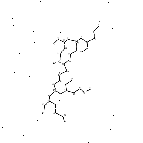 CCCCC(CC)CN(CCOCCOCCN(CC(CC)CCCC)CC(CC)CCCC)CC(CC)CCCC